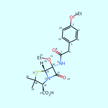 CCOc1ccc(CC(=O)N[C@]2(OCC)C(=O)N3[C@@H](C(=O)O)C(C)(C)S[C@@H]32)cc1